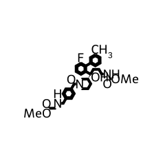 COC(=O)CNCc1ccc(C(=O)N2CCC[C@@H](C(O)(CCCNC(=O)OC)c3cccc(F)c3-c3cccc(C)c3)C2)cc1